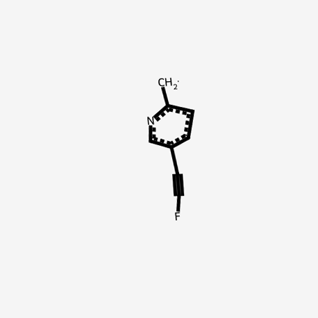 [CH2]c1ccc(C#CF)cn1